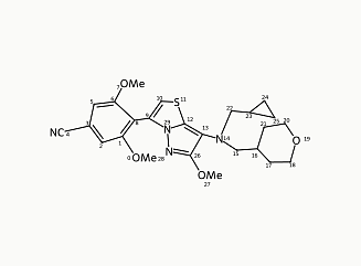 COc1cc(C#N)cc(OC)c1-c1csc2c(N(CC3CCOCC3)CC3CC3)c(OC)nn12